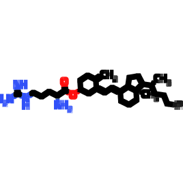 C=C1CC[C@H](OC(=O)[C@H](N)CCCNC(=N)N)C/C1=C/C=C1\CCC[C@@]2(C)C1CCC2[C@@H](C)CCCC(C)C